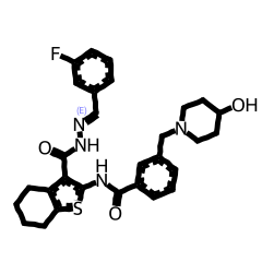 O=C(Nc1sc2c(c1C(=O)N/N=C/c1cccc(F)c1)CCCC2)c1cccc(CN2CCC(O)CC2)c1